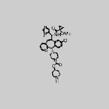 COC1(C(=O)N[C@H](C2=Cc3cccnc3[C@@H](N3CCN(C(=O)OC4CCNCC4)CC3)c3ccc(Cl)cc32)c2cncn2C)CC1